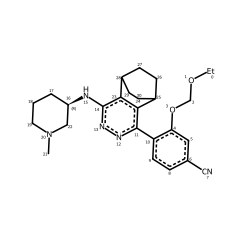 CCOCOc1cc(C#N)ccc1-c1nnc(N[C@@H]2CCCN(C)C2)c2c1C1CCC2CC1